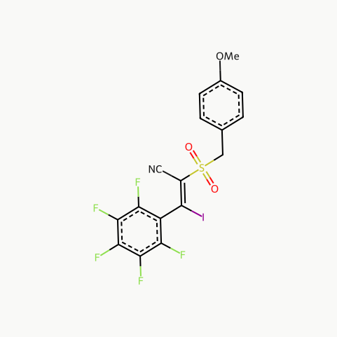 COc1ccc(CS(=O)(=O)C(C#N)=C(I)c2c(F)c(F)c(F)c(F)c2F)cc1